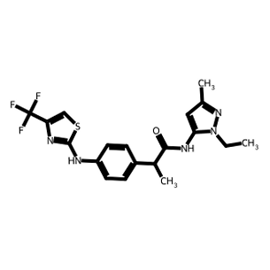 CCn1nc(C)cc1NC(=O)C(C)c1ccc(Nc2nc(C(F)(F)F)cs2)cc1